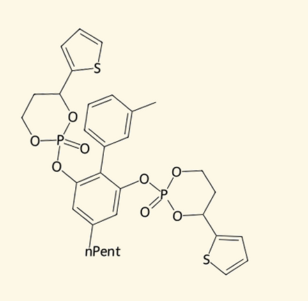 CCCCCc1cc(OP2(=O)OCCC(c3cccs3)O2)c(-c2cccc(C)c2)c(OP2(=O)OCCC(c3cccs3)O2)c1